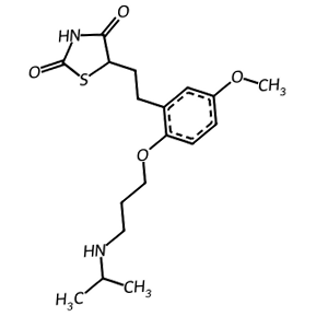 COc1ccc(OCCCNC(C)C)c(CCC2SC(=O)NC2=O)c1